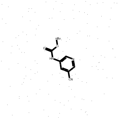 CCCCOC(=O)Nc1cncc(C#N)c1